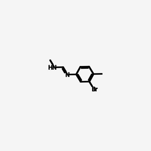 CNC=Nc1ccc(C)c(Br)c1